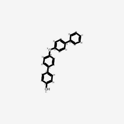 Oc1ccc(-c2ccc(Oc3ccc(-c4ccccc4)cc3)cc2)cc1